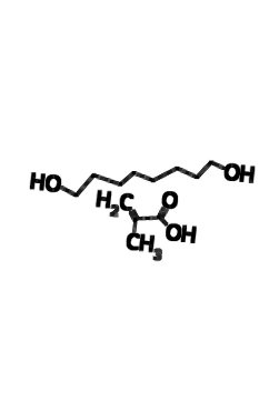 C=C(C)C(=O)O.OCCCCCCCCO